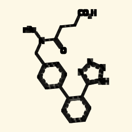 CCCCN(Cc1ccc(-c2ccccc2-c2nnn[nH]2)cc1)C(=O)CCC(=O)O